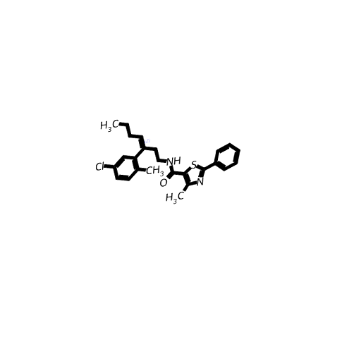 CCC/C=C(/CCNC(=O)c1sc(-c2ccccc2)nc1C)c1cc(Cl)ccc1C